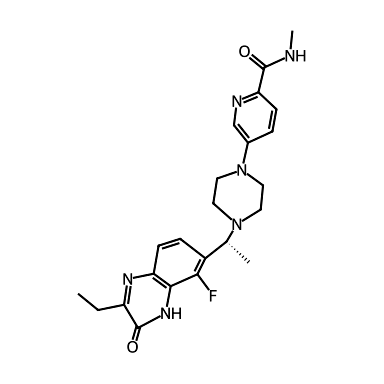 CCc1nc2ccc([C@@H](C)N3CCN(c4ccc(C(=O)NC)nc4)CC3)c(F)c2[nH]c1=O